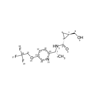 C[C@@H](NC(=O)[C@@H]1C[C@H]1CO)c1ccc(OCC(F)(F)F)cn1